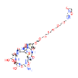 CC[C@H](C)[C@@H]1NC(=O)CNC(=O)[C@@H]2Cc3c([nH]c4c(CSCCOCCOCCOCCOCCOCCOCCOCCn5cc(CN6C(=O)C=CC6=O)nn5)c(OC)ccc34)[S+]([O-])C[C@H](NC(=O)CNC1=O)C(=O)N[C@@H](CC(N)=O)C(=O)N1C[C@H](O)C[C@H]1C(=O)N[C@@H]([C@@H](C)[C@@H](O)CO)C(=O)N2